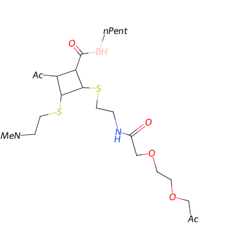 CCCCCBC(=O)C1C(SCCNC(=O)COCCOCC(C)=O)C(SCCNC)C1C(C)=O